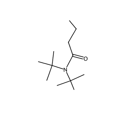 CCCC(=O)N(C(C)(C)C)C(C)(C)C